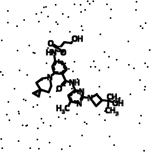 Cc1cc(NC(=O)c2ccc(NS(=O)(=O)CCO)cc2N2CCC3(CC2)CC3)nc(N2CC(C(C)(C)O)C2)n1